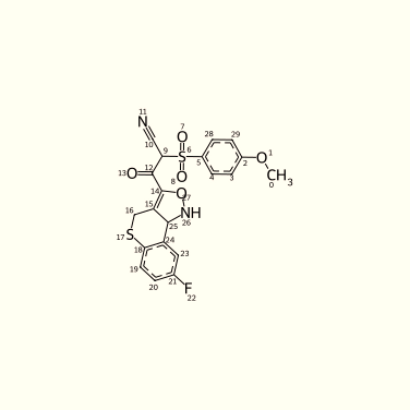 COc1ccc(S(=O)(=O)C(C#N)C(=O)C2=C3CSc4ccc(F)cc4C3NO2)cc1